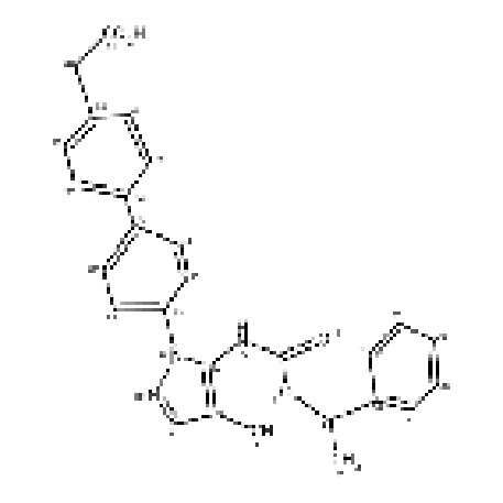 CC(OC(=O)Nc1c(C#N)cnn1-c1ccc(-c2ccc(CC(=O)O)cc2)cc1)c1ccccc1